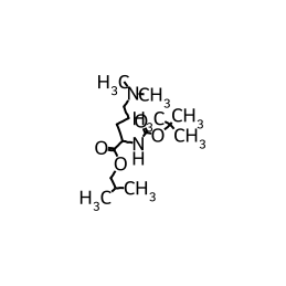 CC(C)COC(=O)C(CCCN(C)C)NC(=O)OC(C)(C)C